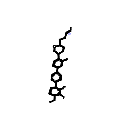 C/C=C/CCC1CCC(c2ccc(-c3ccc(-c4ccc(CC)c(F)c4F)cc3)cc2F)CO1